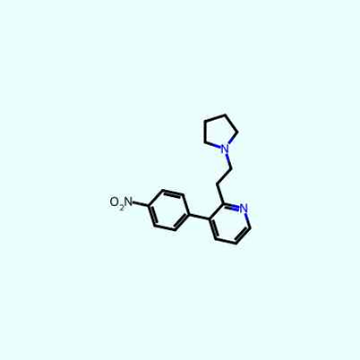 O=[N+]([O-])c1ccc(-c2cccnc2CCN2CCCC2)cc1